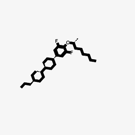 CCCCCC[C@@H](C)Oc1c(F)cc([C@H]2CC[C@H]([C@H]3CC[C@H](CCC)CC3)CC2)cc1F